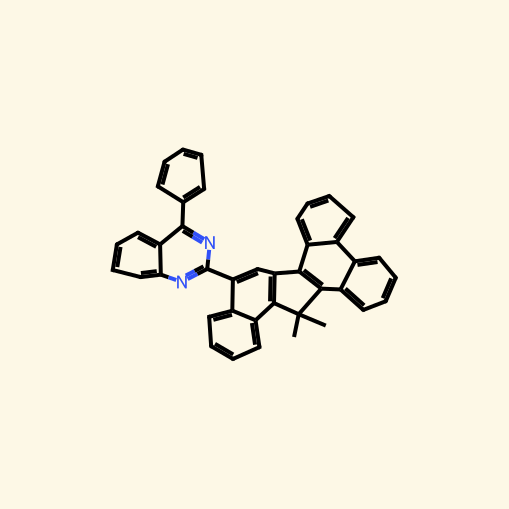 CC1(C)c2c(cc(-c3nc(-c4ccccc4)c4ccccc4n3)c3ccccc23)-c2c1c1ccccc1c1ccccc21